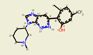 Cc1cc(C(F)(F)F)cc(O)c1-c1cc2ncn([C@@H]3CCCN(C)C3)c2nn1